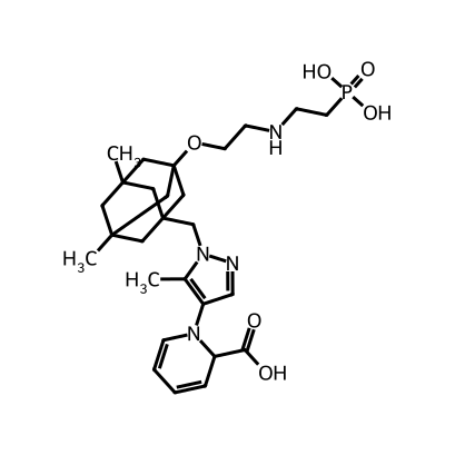 Cc1c(N2C=CC=CC2C(=O)O)cnn1CC12CC3(C)CC(C)(C1)CC(OCCNCCP(=O)(O)O)(C3)C2